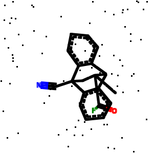 CC1(C(=O)F)CC2(C#N)c3ccccc3C1c1ccccc12